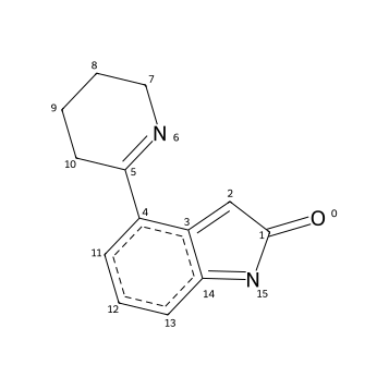 O=C1C=c2c(C3=NCCCC3)cccc2=N1